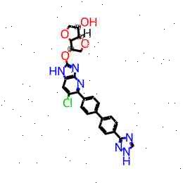 O[C@@H]1COC2[C@H](Oc3nc4nc(-c5ccc(-c6ccc(-c7nc[nH]n7)cc6)cc5)c(Cl)cc4[nH]3)CO[C@@H]21